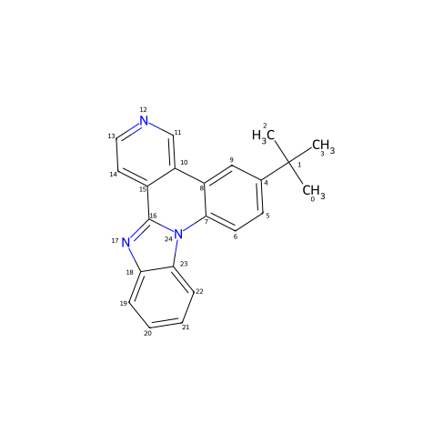 CC(C)(C)c1ccc2c(c1)c1cnccc1c1nc3ccccc3n21